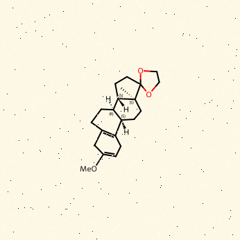 COC1=CCC2=C(CC[C@@H]3[C@@H]2CC[C@@]2(C)[C@H]3CCC23OCCO3)C1